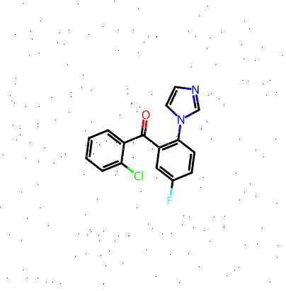 O=C(c1ccccc1Cl)c1cc(F)ccc1-n1ccnc1